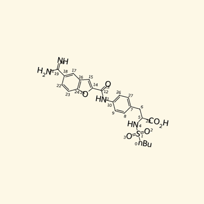 CCCCS(=O)(=O)NC(Cc1ccc(NC(=O)c2cc3cc(C(=N)N)ccc3o2)cc1)C(=O)O